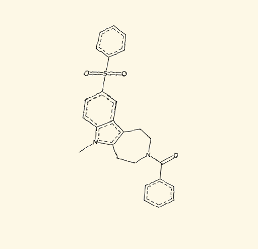 Cn1c2c(c3cc(S(=O)(=O)c4ccccc4)ccc31)CCN(C(=O)c1ccccc1)CC2